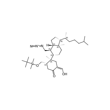 CC(C)CCC[C@@H](C)[C@H]1CC[C@H]2[C@H](CN=[N+]=[N-])[C@@H]([C@@]3(C)CC(=CO)C(=O)C[C@@H]3CO[Si](C)(C)C(C)(C)C)CC[C@]12C